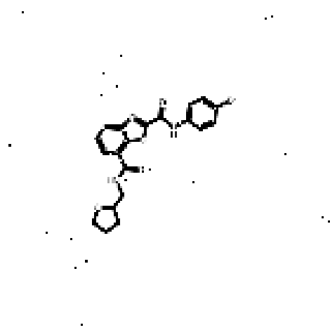 O=C(Nc1ccc(Br)cc1)c1nc2cccc(C(=O)NCC3CCCO3)c2o1